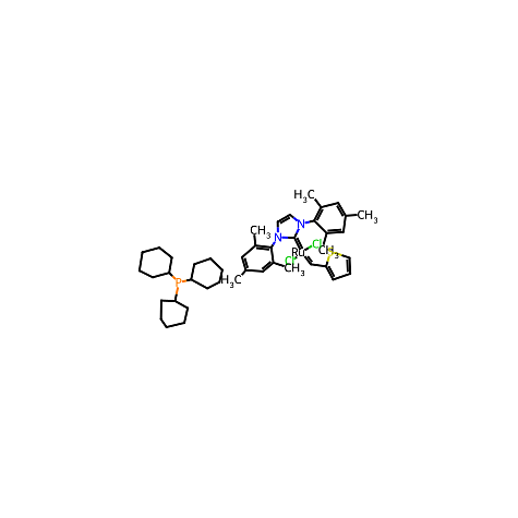 C1CCC(P(C2CCCCC2)C2CCCCC2)CC1.Cc1cc(C)c(-n2ccn(-c3c(C)cc(C)cc3C)[c]2=[Ru]([Cl])([Cl])=[CH]c2cccs2)c(C)c1